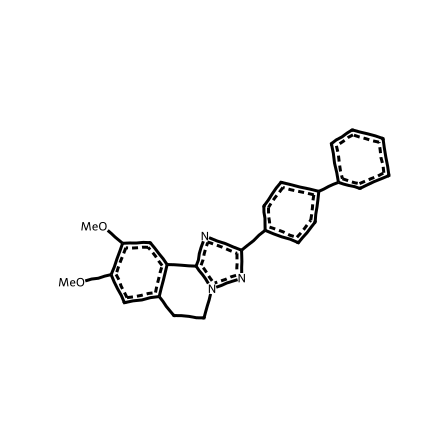 COc1cc2c(cc1OC)-c1nc(-c3ccc(-c4ccccc4)cc3)nn1CC2